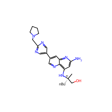 CCCC[C@](C)(CO)Nc1cc(N)nc2cc(-c3cnc(CN4CCCC4)nc3)cnc12